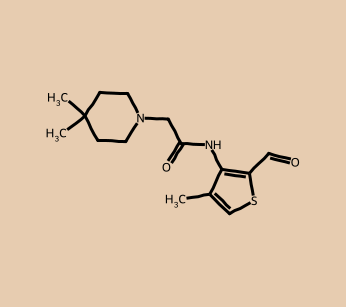 Cc1csc(C=O)c1NC(=O)CN1CCC(C)(C)CC1